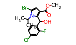 COC(=O)c1cc(Br)n(C(C)C)c1C(O)c1ccc(Cl)cc1F